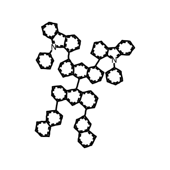 c1ccc(-n2c3ccccc3c3cccc(-c4cccc5c(-c6c7cccc(-c8ccc9ccccc9c8)c7cc7c(-c8ccc9ccccc9c8)cccc67)c6cccc(-c7cccc8c9ccccc9n(-c9ccccc9)c78)c6cc45)c32)cc1